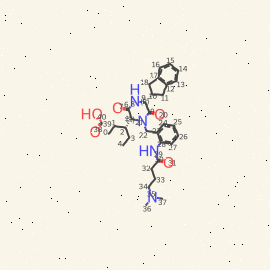 CCC(CC)[C@@H]1C(=O)N[C@H](C2Cc3ccccc3C2)C(=O)N1Cc1ccccc1NC(=O)CCCN(C)C.O=CO